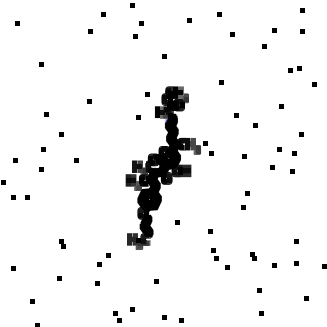 CCCCOc1ccc(CC(C)C(C)C(=O)c2c(O)cc(C(C)CC/C=C/NC(=O)OC)oc2=O)cc1